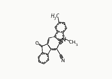 Cc1ccc2c(c1)c(/C=C1/C(=O)c3ccccc3C1=C(C#N)C#N)cn2C